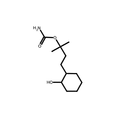 CC(C)(CCC1CCCCC1O)OC(N)=O